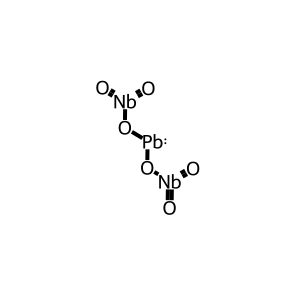 [O]=[Nb](=[O])[O][Pb][O][Nb](=[O])=[O]